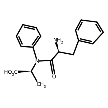 C[C@@H](C(=O)O)N(C(=O)[C@@H](N)Cc1ccccc1)c1ccccc1